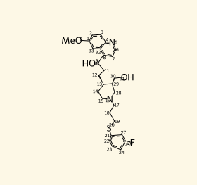 COc1ccc2nccc(C(O)CC[C@@H]3CCN(CCCSc4cccc(F)c4)C[C@@H]3CO)c2c1